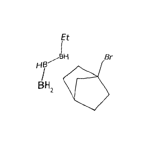 BBBCC.BrC12CCC(CC1)C2